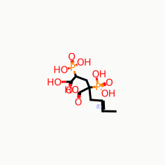 C/C=C/CC(CC(C(=O)O)P(=O)(O)O)(C(=O)O)P(=O)(O)O